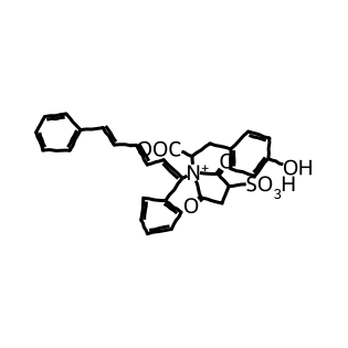 O=C([O-])C(Cc1ccc(O)cc1)[N+]1(C(=CC=C/C=C/c2ccccc2)c2ccccc2)C(=O)CC(S(=O)(=O)O)C1=O